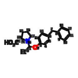 CCC(Oc1ccc(Cc2ccccc2)cc1)N1CCC[C@H]1C(=O)O